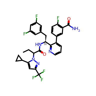 CCC(C(=O)N[C@@H](Cc1cc(F)cc(F)c1)c1ncccc1-c1ccc(F)c(C(N)=O)c1)n1nc(C(F)(F)F)cc1C1CC1